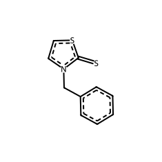 S=c1sccn1Cc1ccccc1